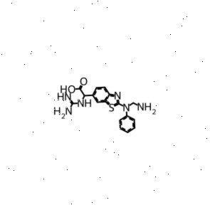 N=C(N)NC(C(=O)O)c1ccc2nc(N(CN)c3ccccc3)sc2c1